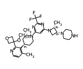 COC1(c2nccc(C)c2[C@@H]2CCN(c3cc(N4C[C@@H](N5CCNCC5)[C@H]4C)nc(C(F)(F)F)n3)[C@@H](C)C2)COC1